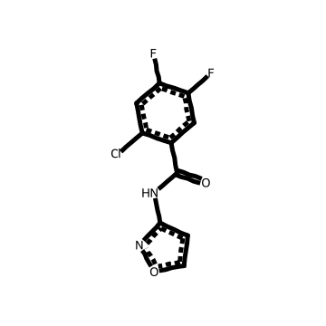 O=C(Nc1ccon1)c1cc(F)c(F)cc1Cl